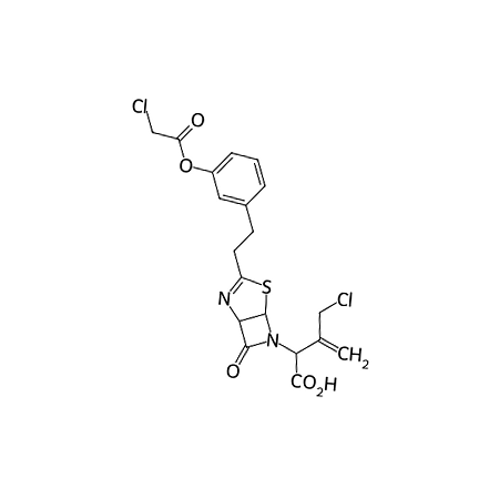 C=C(CCl)C(C(=O)O)N1C(=O)C2N=C(CCc3cccc(OC(=O)CCl)c3)SC21